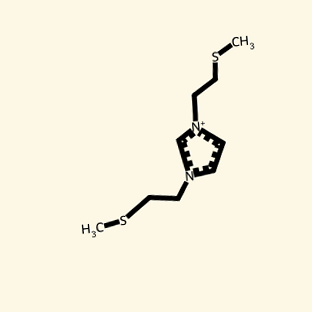 CSCCn1cc[n+](CCSC)c1